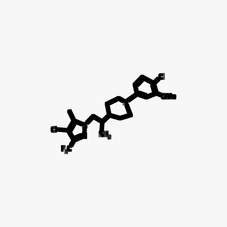 COc1cc(N2CCC(C(N)Cn3nc(C(F)(F)F)c(Cl)c3C)CC2)ccc1Cl